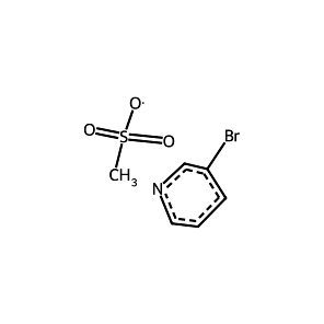 Brc1cccnc1.CS([O])(=O)=O